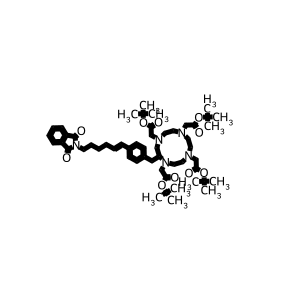 CC(C)(C)OC(=O)CN1CCN(CC(=O)OC(C)(C)C)CCN(CC(=O)OC(C)(C)C)C(Cc2ccc(/C=C/CCCCN3C(=O)c4ccccc4C3=O)cc2)CN(CC(=O)OC(C)(C)C)CC1